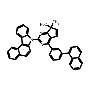 CC1(C)C=Cc2c(-c3cccc(-c4cccc5ccccc45)c3)nc(-n3c4ccccc4c4c5ccccc5ccc43)nc21